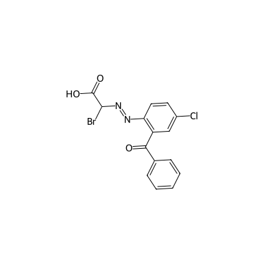 O=C(c1ccccc1)c1cc(Cl)ccc1N=NC(Br)C(=O)O